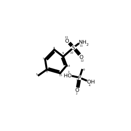 CP(=O)(O)O.Cc1ccc(S(N)(=O)=O)cc1